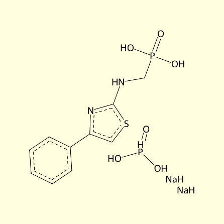 O=P(O)(O)CNc1nc(-c2ccccc2)cs1.O=[PH](O)O.[NaH].[NaH]